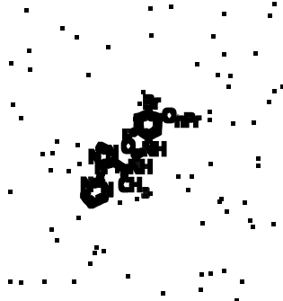 CCCOc1cc(NC(=O)NC(C)c2ncnn2-c2ncccn2)c(F)cc1Br